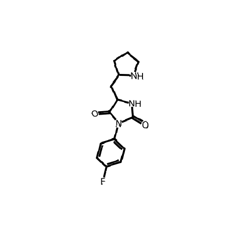 O=C1NC(CC2CCCN2)C(=O)N1c1ccc(F)cc1